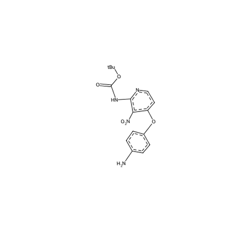 CC(C)(C)OC(=O)Nc1nccc(Oc2ccc(N)cc2)c1[N+](=O)[O-]